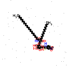 CCCCCCCCCCCCCCCCCCCCCCCCCCN[C@@H](CO[C@@H]1O[C@H](COC(=S)Nc2ccc([N+](=O)[O-])cc2)[C@H](O)[C@H](O)[C@H]1O)[C@H](O)[C@H](O)CCCCCCCCCCCCCC